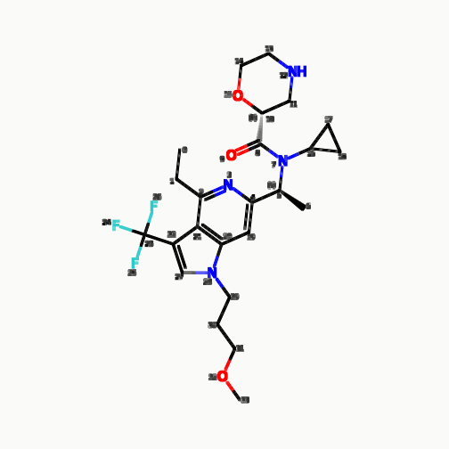 CCc1nc([C@H](C)N(C(=O)[C@H]2CNCCO2)C2CC2)cc2c1c(C(F)(F)F)cn2CCCOC